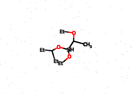 CCOC(C)[SiH](OCC)OC(CC)CC